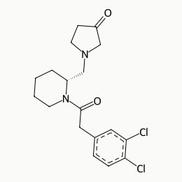 O=C1CCN(C[C@H]2CCCCN2C(=O)Cc2ccc(Cl)c(Cl)c2)C1